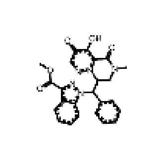 COC(=O)c1nn(C(c2ccccc2)C2CN(C)C(=O)c3c(O)c(=O)cnn32)c2ccccc12